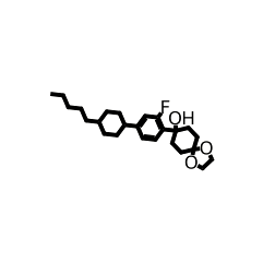 CCCCCC1CCC(c2ccc(C3(O)CCC4(CC3)OCCO4)c(F)c2)CC1